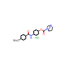 COc1ccc(C(=O)Nc2ccc(OC(=O)N3CCN4CCC3CC4)cc2)cc1.Cl